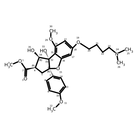 COC(=O)[C@@H]1C[C@]2(c3ccc(OC)cc3)Oc3cc(OCCCCN(C)C)cc(OC)c3[C@]2(O)[C@@H]1O